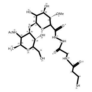 CO[C@@H]1C(C(=O)NNC(=O)CNC(=O)CCS)O[C@@H](O[C@@H]2C(NC(C)=O)[C@H](C)OC(CO)[C@H]2O)C(O)[C@H]1O